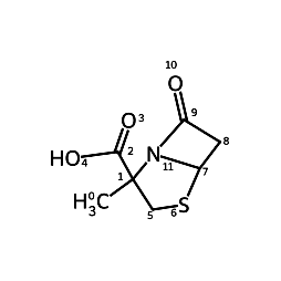 CC1(C(=O)O)CSC2CC(=O)N21